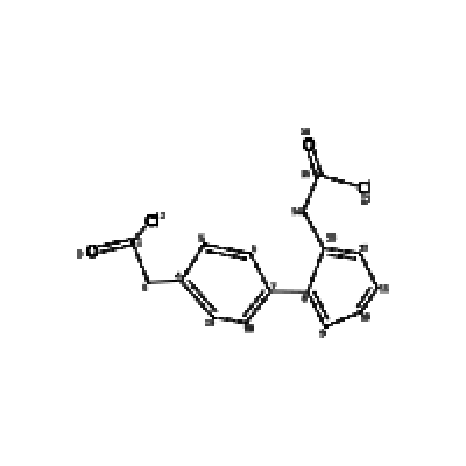 O=C(Cl)Cc1ccc(-c2ccccc2CC(=O)Cl)cc1